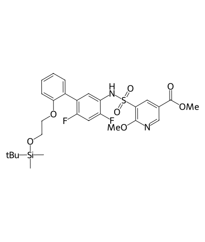 COC(=O)c1cnc(OC)c(S(=O)(=O)Nc2cc(-c3ccccc3OCCO[Si](C)(C)C(C)(C)C)c(F)cc2F)c1